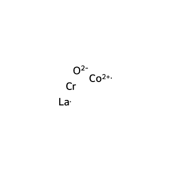 [Co+2].[Cr].[La].[O-2]